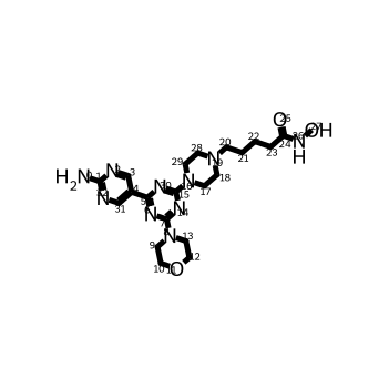 Nc1ncc(-c2nc(N3CCOCC3)nc(N3CCN(CCCCC(=O)NO)CC3)n2)cn1